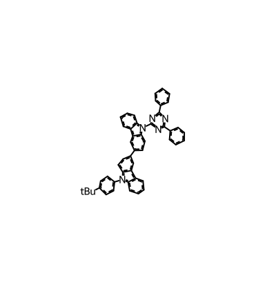 CC(C)(C)c1ccc(-n2c3ccccc3c3cc(-c4ccc5c(c4)c4ccccc4n5-c4nc(-c5ccccc5)nc(-c5ccccc5)n4)ccc32)cc1